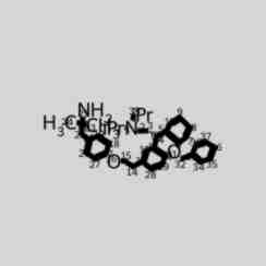 CC(C)N(CC[C@H](c1ccccc1)c1cc(CCOc2ccc(CC(C)(C)N)cc2)ccc1OCc1ccccc1)C(C)C